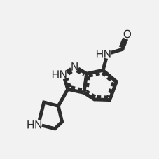 O=CNc1cccc2c(C3CCNC3)[nH]nc12